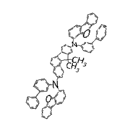 CC1(C)c2cc(N(c3cccc(-c4ccccc4)c3)c3cccc4c3oc3ccccc34)ccc2-c2ccc3cc(N(c4cccc(-c5ccccc5)c4)c4cccc5c4oc4ccccc45)ccc3c21